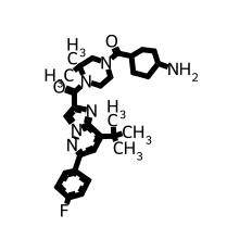 CC(C)(C)c1cc(-c2ccc(F)cc2)nn2cc(C(=O)N3CCN(C(=O)C4CCC(N)CC4)CC3(C)C)nc12